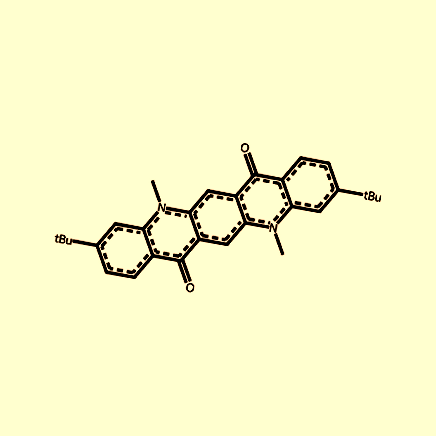 Cn1c2cc(C(C)(C)C)ccc2c(=O)c2cc3c(cc21)c(=O)c1ccc(C(C)(C)C)cc1n3C